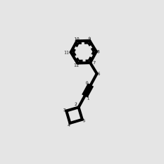 C(#CC1CCC1)Cc1ccccc1